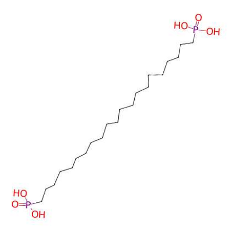 O=P(O)(O)CCCCCCCCCCCCCCCCCCCCCP(=O)(O)O